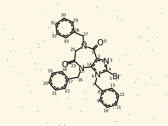 O=C1c2nc(Br)n(Cc3ccccc3)c2N(Cc2ccccc2)C(=O)CN1Cc1ccccc1